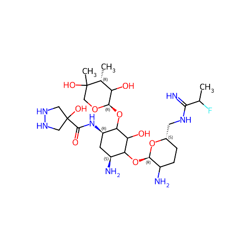 CC(F)C(=N)NC[C@@H]1CCC(N)[C@@H](OC2C(O)C(O[C@H]3OCC(C)(O)[C@H](C)C3O)[C@H](NC(=O)C3(O)CNNC3)C[C@@H]2N)O1